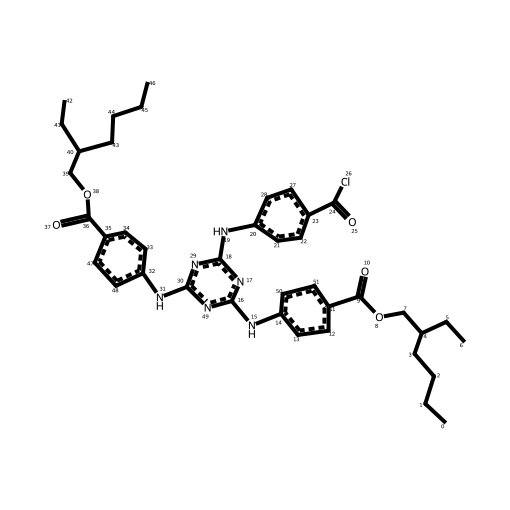 CCCCC(CC)COC(=O)c1ccc(Nc2nc(Nc3ccc(C(=O)Cl)cc3)nc(Nc3ccc(C(=O)OCC(CC)CCCC)cc3)n2)cc1